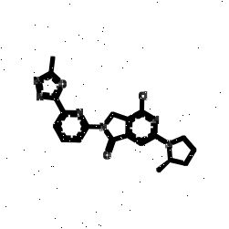 Cc1nnc(-c2cccc(N3Cc4c(cc(N5CCC[C@H]5C)nc4Cl)C3=O)n2)o1